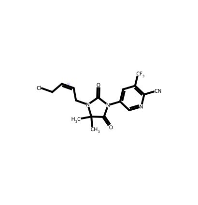 CC1(C)C(=O)N(c2cnc(C#N)c(C(F)(F)F)c2)C(=O)N1C/C=C\CCl